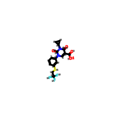 O=C(O)c1cn(-c2cccc(SCC(F)(F)F)c2)c(=O)n(C2CC2)c1=O